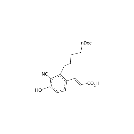 CCCCCCCCCCCCCCc1c(/C=C/C(=O)O)ccc(O)c1C#N